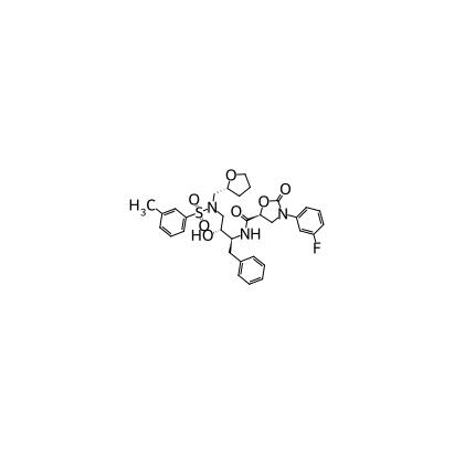 Cc1cccc(S(=O)(=O)N(C[C@H]2CCCO2)C[C@@H](O)[C@H](Cc2ccccc2)NC(=O)[C@@H]2CN(c3cccc(F)c3)C(=O)O2)c1